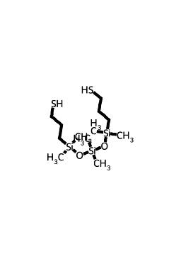 C[Si](C)(CCCS)O[Si](C)(C)O[Si](C)(C)CCCS